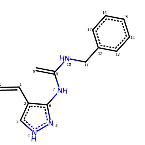 C=Cc1c[nH]nc1NC(=C)NCc1ccccc1